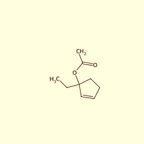 [CH2]C(=O)OC1(CC)C=CCC1